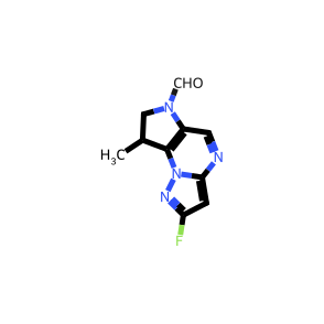 CC1CN(C=O)c2cnc3cc(F)nn3c21